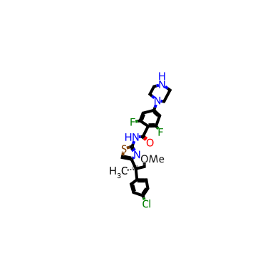 COC[C@@](C)(c1ccc(Cl)cc1)c1csc(NC(=O)c2c(F)cc(N3CCNCC3)cc2F)n1